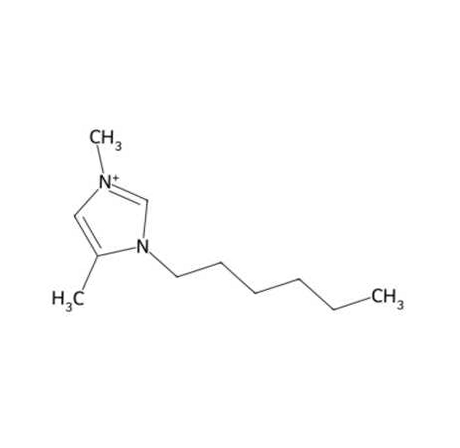 CCCCCCn1c[n+](C)cc1C